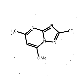 COc1cc(C)nc2nc(C(F)(F)F)nn12